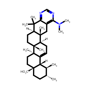 C[C@H]1[C@H](C)CC[C@]2(C(=O)O)CC[C@]3(C)C(=CC[C@@H]4[C@@]5(C)Cc6c(N(C)C)ncnc6C(C)(C)[C@@H]5CC[C@]43C)[C@H]12